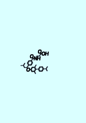 Cc1cc(OC(CC(C)C)c2ccc(C(=O)NCCC(=O)O)cc2)cc(C)c1-c1ccc(C(C)C)cc1